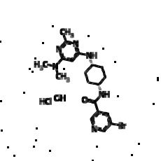 Cc1nc(N[C@H]2CC[C@@H](NC(=O)c3cncc(Br)c3)CC2)cc(N(C)C)n1.Cl.Cl